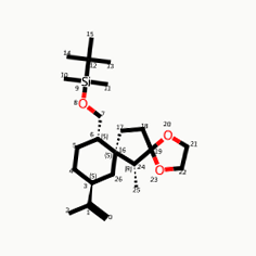 C=C(C)[C@H]1CC[C@H](CO[Si](C)(C)C(C)(C)C)[C@]2(CCC3(OCCO3)[C@@H]2C)C1